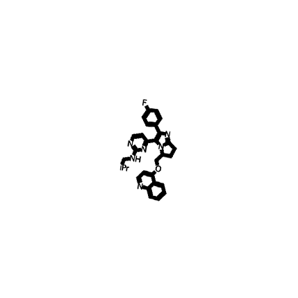 CC(C)CNc1nccc(-c2c(-c3ccc(F)cc3)nc3n2C(COc2ccnc4ccccc24)CC3)n1